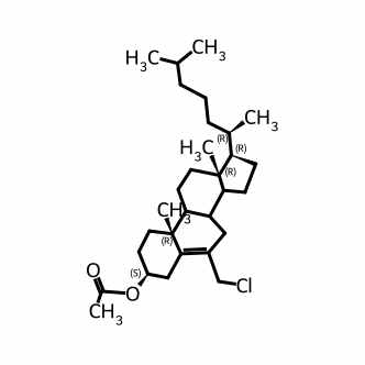 CC(=O)O[C@H]1CC[C@@]2(C)C(=C(CCl)CC3C2CC[C@@]2(C)C3CC[C@@H]2[C@H](C)CCCC(C)C)C1